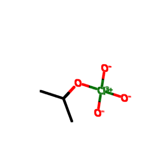 CC(C)O[Cl+3]([O-])([O-])[O-]